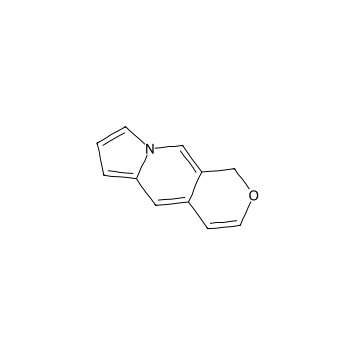 C1=Cc2cc3cccn3cc2CO1